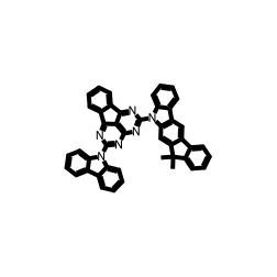 CC1(C)c2ccccc2-c2cc3c4ccccc4n(-c4nc5c6c(nc(-n7c8ccccc8c8ccccc87)nc6n4)-c4ccccc4-5)c3cc21